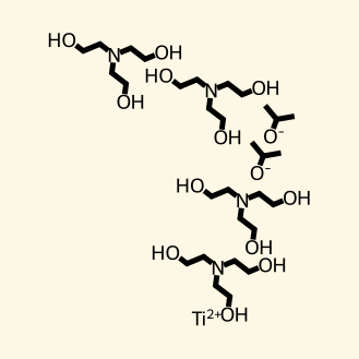 CC(C)[O-].CC(C)[O-].OCCN(CCO)CCO.OCCN(CCO)CCO.OCCN(CCO)CCO.OCCN(CCO)CCO.[Ti+2]